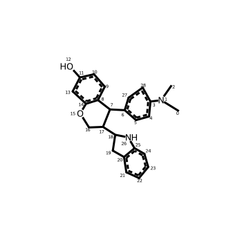 CN(C)c1ccc(C2c3ccc(O)cc3OCC2C2Cc3ccccc3N2)cc1